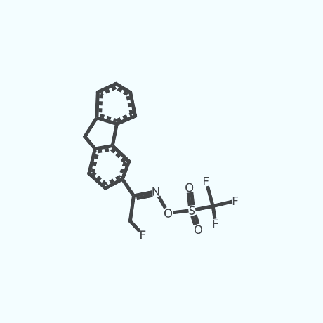 O=S(=O)(ON=C(CF)c1ccc2c(c1)-c1ccccc1C2)C(F)(F)F